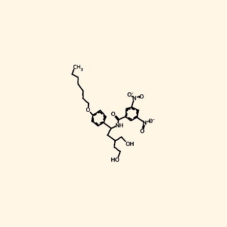 CCCCCCCOc1ccc(C(CC(CO)CCO)NC(=O)c2cc([N+](=O)[O-])cc([N+](=O)[O-])c2)cc1